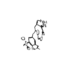 Cc1cnc2c(S(C)(=O)=O)cc(CC(Cc3c[nH]nc3C#N)OC=O)cc2c1